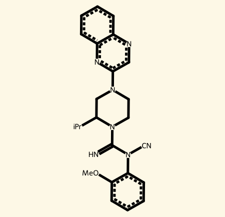 COc1ccccc1N(C#N)C(=N)N1CCN(c2cnc3ccccc3n2)CC1C(C)C